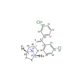 CN1[C@@H]2CC[C@H]1C[C@@H](C=C(c1cccc(Cl)c1)c1cccc(Cl)c1)C2